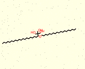 CCCCCCCCCCCCCCCCCCCOC(CCCCCCCCCCCCCCCCCCC)C(CO)(CO)CO